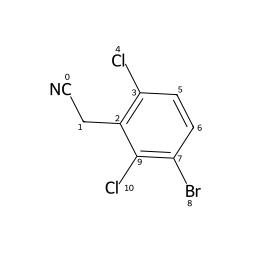 N#CCc1c(Cl)ccc(Br)c1Cl